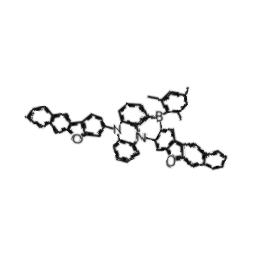 Cc1cc(C)c(B2c3cc4c(cc3N3c5ccccc5N(c5ccc6c(c5)oc5cc7ccccc7cc56)c5cccc2c53)oc2cc3ccccc3cc24)c(C)c1